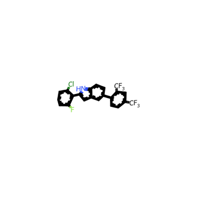 Fc1cccc(Cl)c1-c1cc2cc(-c3ccc(C(F)(F)F)cc3C(F)(F)F)ccc2[nH]1